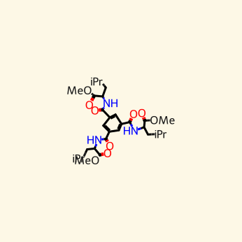 COC(=O)C(CC(C)C)NC(=O)c1cc(C(=O)NC(CC(C)C)C(=O)OC)cc(C(=O)NC(CC(C)C)C(=O)OC)c1